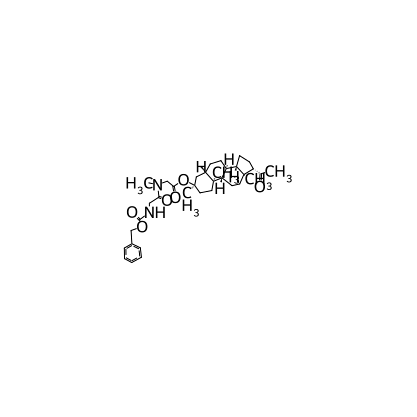 CC(=O)[C@H]1CC[C@H]2[C@@H]3CC[C@H]4C[C@](C)(OC(=O)CN(C)C(=O)CNC(=O)OCc5ccccc5)CC[C@]4(C)[C@H]3CC[C@]12C